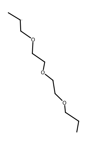 C[CH]COCCOCCOCCC